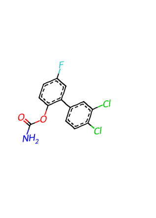 NC(=O)Oc1ccc(F)cc1-c1ccc(Cl)c(Cl)c1